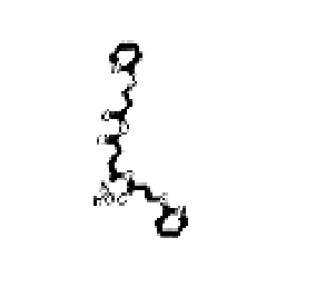 O=C(CCSc1ccccn1)OC(=O)CC/C(=N/O)OC(=O)CCSc1ccccn1